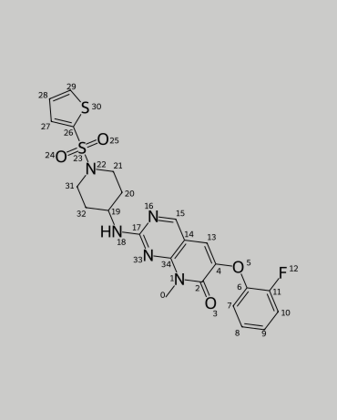 Cn1c(=O)c(Oc2ccccc2F)cc2cnc(NC3CCN(S(=O)(=O)c4cccs4)CC3)nc21